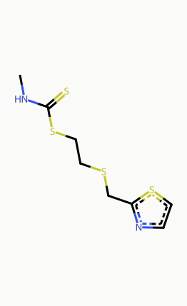 CNC(=S)SCCSCc1nccs1